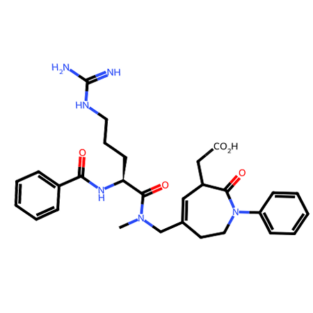 CN(CC1=CC(CC(=O)O)C(=O)N(c2ccccc2)CC1)C(=O)[C@H](CCCNC(=N)N)NC(=O)c1ccccc1